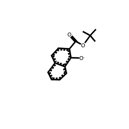 CC(C)(C)OC(=O)c1ccc2ccccc2c1[O]